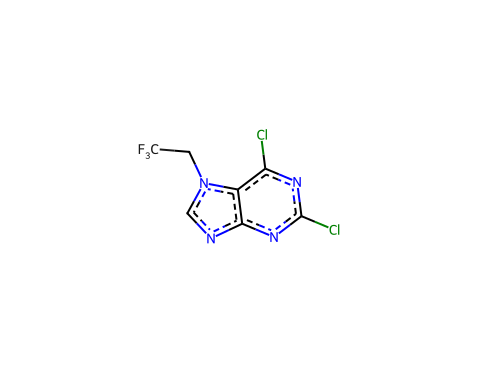 FC(F)(F)Cn1cnc2nc(Cl)nc(Cl)c21